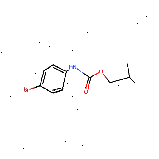 CC(C)COC(=O)Nc1ccc(Br)cc1